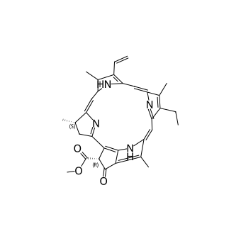 C=Cc1c(C)c2cc3nc(c4c5[nH]c(cc6nc(cc1[nH]2)C(C)=C6CC)c(C)c5C(=O)[C@@H]4C(=O)OC)C[C@@H]3C